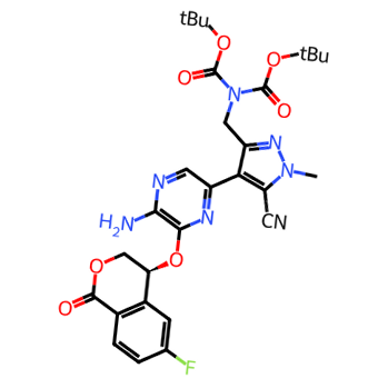 Cn1nc(CN(C(=O)OC(C)(C)C)C(=O)OC(C)(C)C)c(-c2cnc(N)c(O[C@@H]3COC(=O)c4ccc(F)cc43)n2)c1C#N